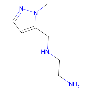 Cn1nccc1CNCCN